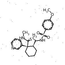 CNC(=S)[C@@]1(c2cccnc2)CCCC[C@@H]1C(C)NS(=O)(=O)c1ccc(OC)cc1